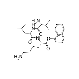 CC(C)C[C@H](NC(=O)[C@H](N)C(C)C)C(=O)N[C@@H](CCCCN)C(=O)Oc1cccc2ccccc12